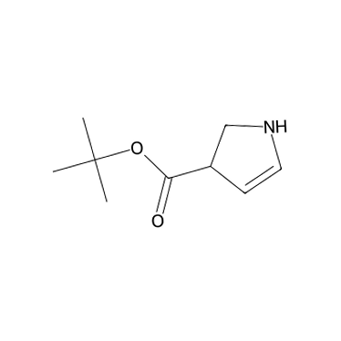 CC(C)(C)OC(=O)C1C=CNC1